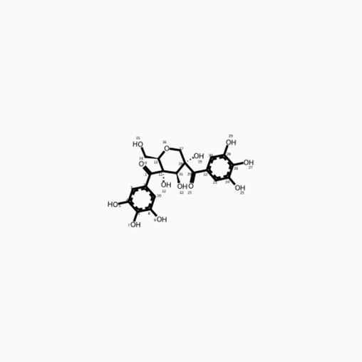 O=C(c1cc(O)c(O)c(O)c1)[C@@]1(O)[C@@H](CO)OC[C@@](O)(C(=O)c2cc(O)c(O)c(O)c2)[C@H]1O